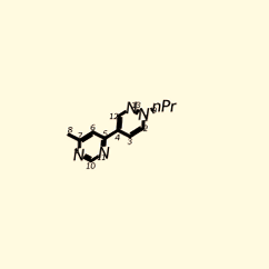 CCC[n+]1ccc(-c2cc(C)ncn2)cn1